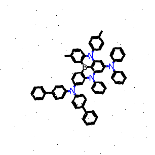 Cc1ccc(N2c3ccc(C)cc3B3c4ccc(N(c5ccc(-c6ccccc6)cc5)c5ccc(-c6ccccc6)cc5)cc4N(c4ccccc4)c4cc(N(c5ccccc5)c5ccccc5)cc2c43)cc1